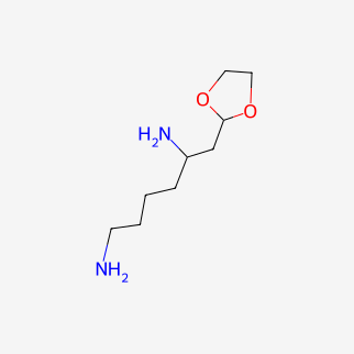 NCCCCC(N)CC1OCCO1